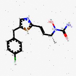 C[C@H](C=Cc1ncc(Cc2ccc(F)cc2)s1)N(O)C(N)=O